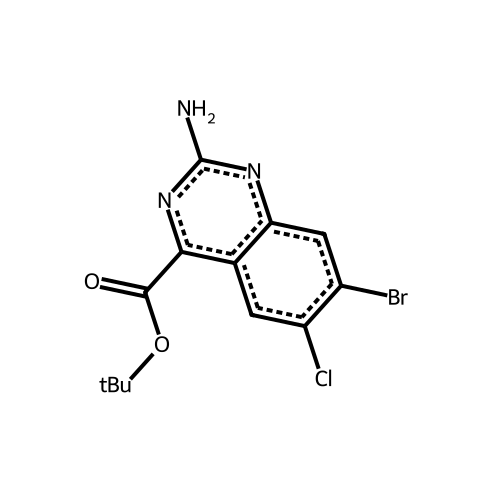 CC(C)(C)OC(=O)c1nc(N)nc2cc(Br)c(Cl)cc12